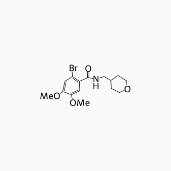 COc1cc(Br)c(C(=O)NCC2CCOCC2)cc1OC